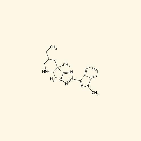 CCC1CNC(C)C(C)(c2nc(-c3cn(C)c4ccccc34)no2)C1